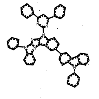 c1ccc(-c2cc(-c3ccccc3)nc(-n3c4ccc(-c5ccc6c(c5)c5ccccc5n6-c5ccccc5)cc4c4c3nc3n(-c5ccccc5)c5ccccc5n43)n2)cc1